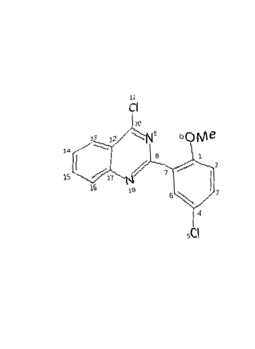 COc1ccc(Cl)cc1-c1nc(Cl)c2ccccc2n1